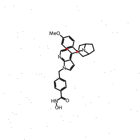 COc1ccc(CN2C3CCC2CN(c2ccnc4c2ccn4Cc2ccc(C(=O)NO)cc2)C3)cc1